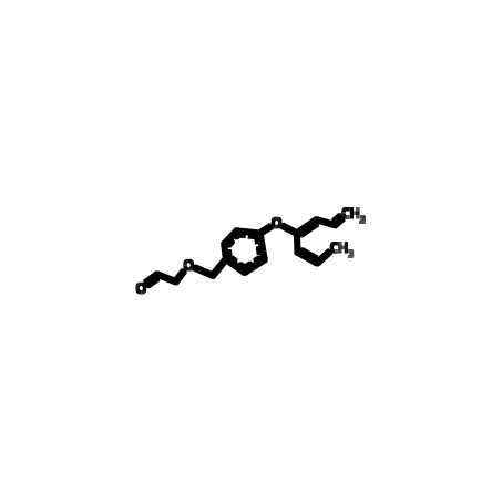 C=C/C=C(\C=C/C)Oc1ccc(COCC=O)cc1